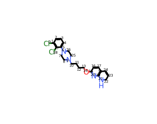 Clc1cccc(N2CCN(CCCCOc3ccc4c(n3)NCC=C4)CC2)c1Cl